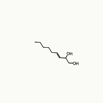 CCCCCC=CC(O)CO